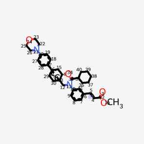 COC(=O)/C=C/c1cccc(N(CC23CCC(c4ccc(N5CCOCC5)cc4)(CC2)CC3)C(=O)C2CCCCC2)c1